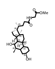 COC(=O)CNC(=O)CC[C@@H](C)[C@H]1CC[C@H]2[C@@H]3[C@H](O)[C@H](C)C4C[C@H](O)CC[C@]4(C)[C@H]3CC[C@]12C